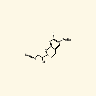 CCCCOc1cc2c(cc1F)O[C@@H]([C@@H](O)CN=[N+]=[N-])CC2